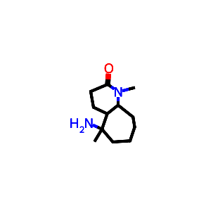 CN1C(=O)CCC2C1CCCCC2(C)N